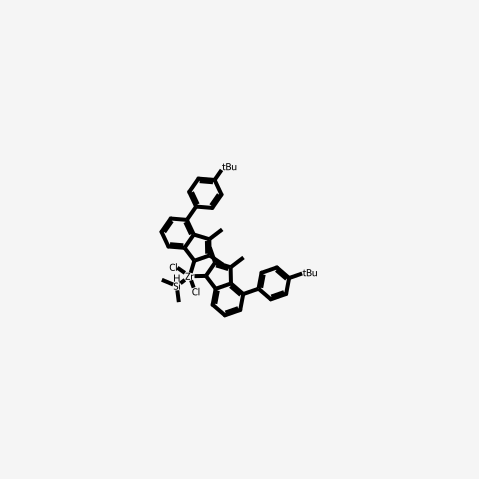 CC1=C(C)[CH]([Zr]([Cl])([Cl])([CH]2C(C)=C(C)c3c(-c4ccc(C(C)(C)C)cc4)cccc32)[SiH](C)C)c2cccc(-c3ccc(C(C)(C)C)cc3)c21